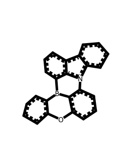 c1ccc2c(c1)Oc1cccc3c1B2c1cccc2c4ccccc4n-3c12